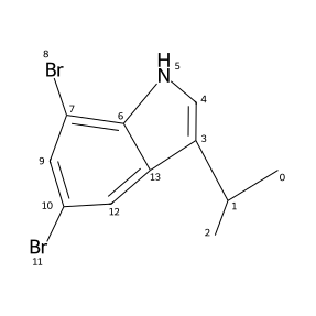 CC(C)c1c[nH]c2c(Br)cc(Br)cc12